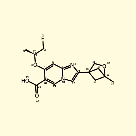 C[C@@H](CF)Oc1cc2nc(C34COC(C)(C3)C4)cn2cc1C(=O)O